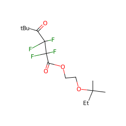 CCC(C)(C)OCCOC(=O)C(F)(F)C(F)(F)C(=O)C(C)(C)C